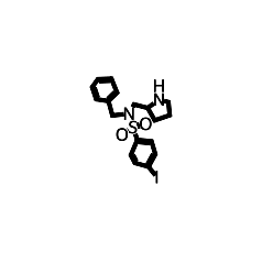 O=S(=O)(c1ccc(I)cc1)N(Cc1ccccc1)CC1CCCN1